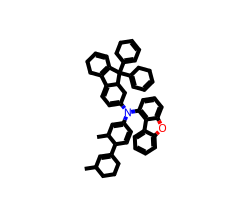 CC1C=C(C2C=CC(N(C3=CC=C4C5=C(C=CCC5)C(C5=CC=CCC5)(C5=CC=CCC5)C4C3)c3cccc4oc5ccccc5c34)=CC2C)CCC1